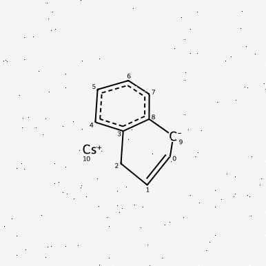 C1=CCc2ccccc2[CH-]1.[Cs+]